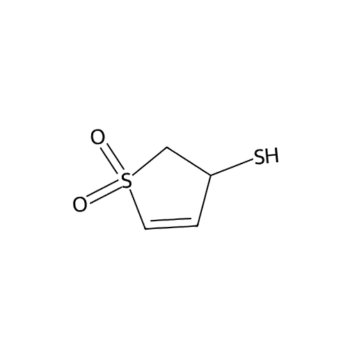 O=S1(=O)C=CC(S)C1